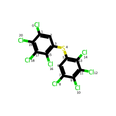 Clc1cc(Sc2cc(Cl)c(Cl)c(Cl)c2Cl)c(Cl)c(Cl)c1Cl